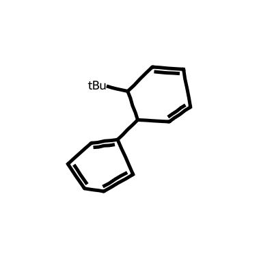 CC(C)(C)C1C=CC=CC1c1ccccc1